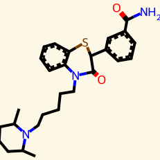 CC1CCCC(C)N1CCCCCN1C(=O)C(c2cccc(C(N)=O)c2)Sc2ccccc21